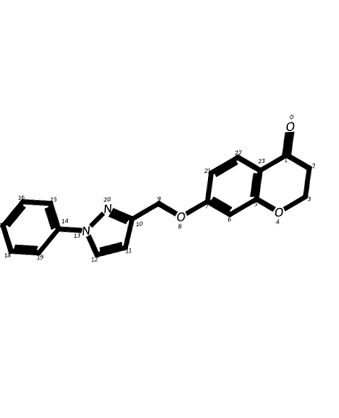 O=C1CCOc2cc(OCc3ccn(-c4ccccc4)n3)ccc21